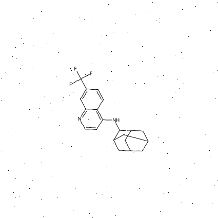 FC(F)(F)c1ccc2c(NC3C4CC5CC(C4)CC3C5)ccnc2c1